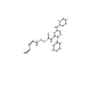 N=C/N=C\NCCC(=O)Nc1cc(Nc2ccccc2)ccc1-c1ccccc1